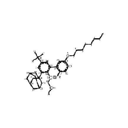 CCCCCCCCOc1ccc(Br)c(-c2cc(C(C)(C)C)cc(C34CC5CC(CC(C5)C3)C4)c2OCOC)c1